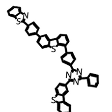 c1ccc(-c2nc(-c3ccc(-c4cccc5c4sc4ccc(-c6ccc(-c7nc8ccccc8s7)cc6)cc45)cc3)nc(-c3ccc4sc5ccccc5c4c3)n2)cc1